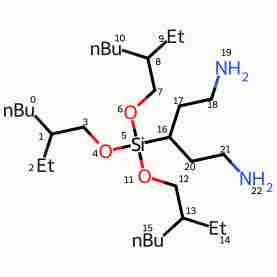 CCCCC(CC)CO[Si](OCC(CC)CCCC)(OCC(CC)CCCC)C(CCN)CCN